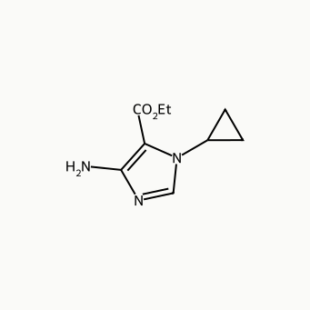 CCOC(=O)c1c(N)ncn1C1CC1